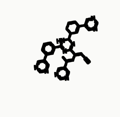 C#C/C=C(\C=C(/C)c1cncnc1)C1=NC(C2C=C(c3cncnc3)C=CC2)NC(c2cccc(-c3cncnc3)c2)=N1